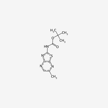 Cc1cnc2nc(NC(=O)OC(C)(C)C)sc2n1